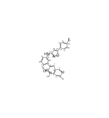 Cc1cc2c(cn1)cc(-c1cc(Nc3cc(-c4ccc(F)cc4)on3)ccc1C)c(=O)n2C